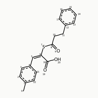 Cc1ccc(/C=C(/SC(=O)CCc2ccccc2)C(=O)O)cc1